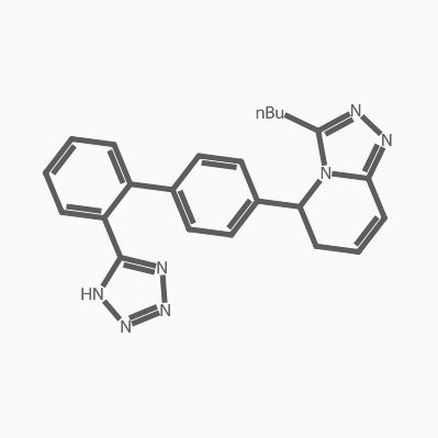 CCCCc1nnc2n1C(c1ccc(-c3ccccc3-c3nnn[nH]3)cc1)CC=C2